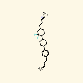 C=CCCc1ccc(C2CCC(C3CCC(CC/C=C/C)CC3(F)F)CC2)cc1